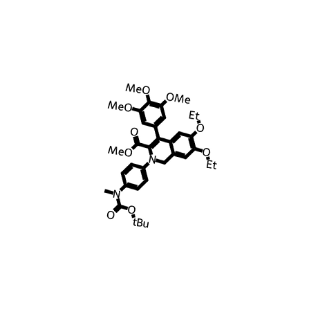 CCOc1cc2c(cc1OCC)C(c1cc(OC)c(OC)c(OC)c1)=C(C(=O)OC)N(c1ccc(N(C)C(=O)OC(C)(C)C)cc1)C2